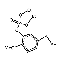 CCOP(=O)(OCC)Oc1cc(CS)ccc1OC